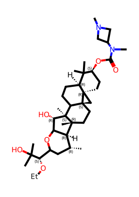 CCO[C@@H](C1C[C@@H](C)[C@H]2C(O1)[C@H](O)[C@@]1(C)C3CC[C@H]4C(C)(C)[C@@H](OC(=O)N(C)C5CN(C)C5)CC[C@@]45C[C@@]35CC[C@]21C)C(C)(C)O